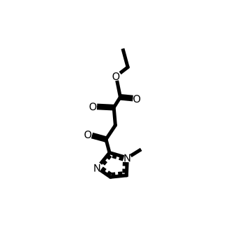 CCOC(=O)C(=O)CC(=O)c1nccn1C